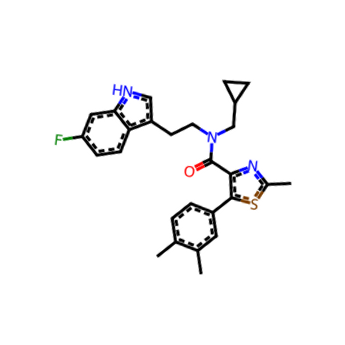 Cc1nc(C(=O)N(CCc2c[nH]c3cc(F)ccc23)CC2CC2)c(-c2ccc(C)c(C)c2)s1